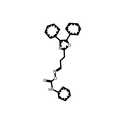 O=C(Nc1ccccc1)ON=CCCc1nc(-c2ccccc2)c(-c2ccccc2)o1